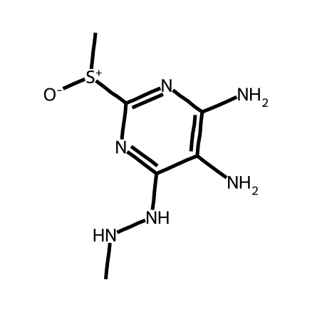 CNNc1nc([S+](C)[O-])nc(N)c1N